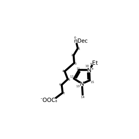 CCCCCCCCCCCCCCCCCC(=O)[O-].CC[n+]1ccn(C)c1